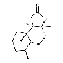 C[C@H]1CCC[C@@]2(C)C1CC[C@@]1(C)OC(=O)C[C@@H]12